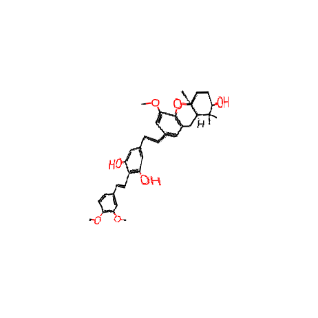 COc1ccc(/C=C/c2c(O)cc(/C=C/c3cc4c(c(OC)c3)O[C@]3(C)CC[C@@H](O)C(C)(C)[C@H]3C4)cc2O)cc1OC